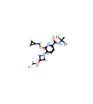 CCC(C)(CC)NC(=O)c1ccc(N2CC(OCF)C2)c(OCC2CC2)n1